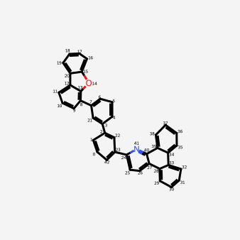 c1cc(-c2cccc(-c3cccc4c3oc3ccccc34)c2)cc(-c2ccc3c4ccccc4c4ccccc4c3n2)c1